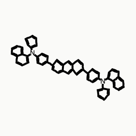 c1ccc(N(c2ccc(-c3ccc4cc5cc(-c6ccc(N(c7ccccc7)c7cccc8ccccc78)cc6)ccc5cc4c3)cc2)c2cccc3ccccc23)cc1